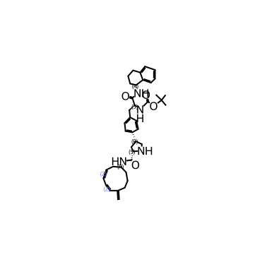 C=C1/C=C\C=C/C[C@H](NC(=O)[C@@H]2C[C@H](c3ccc(C[C@H](NC(=O)OC(C)(C)C)C(=O)N[C@@H]4CCCc5ccccc54)cc3)CN2)CCC1